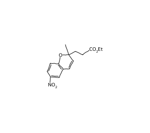 CCOC(=O)CCC1(C)C=Cc2cc([N+](=O)[O-])ccc2O1